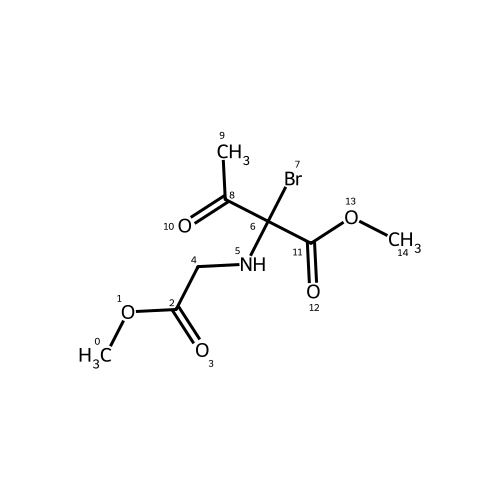 COC(=O)CNC(Br)(C(C)=O)C(=O)OC